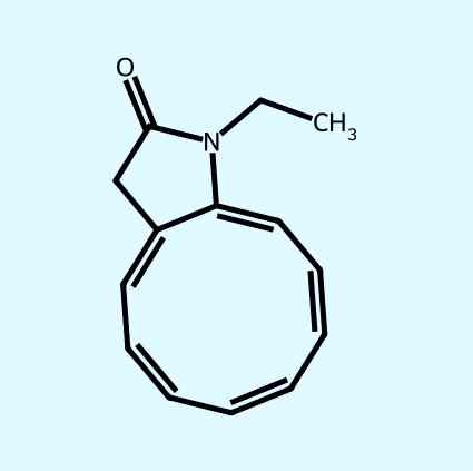 CCN1C(=O)Cc2ccccccccc21